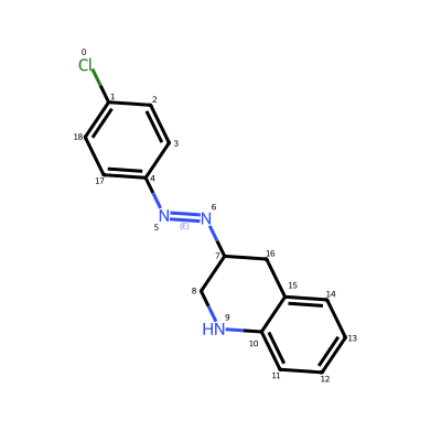 Clc1ccc(/N=N/C2CNc3ccccc3C2)cc1